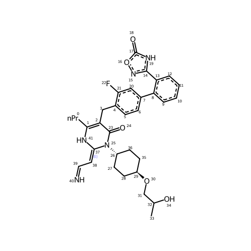 CCCC1=C(Cc2ccc(-c3ccccc3-c3noc(=O)[nH]3)cc2F)C(=O)N([C@H]2CC[C@H](OCC(C)O)CC2)/C(=C/C=N)N1